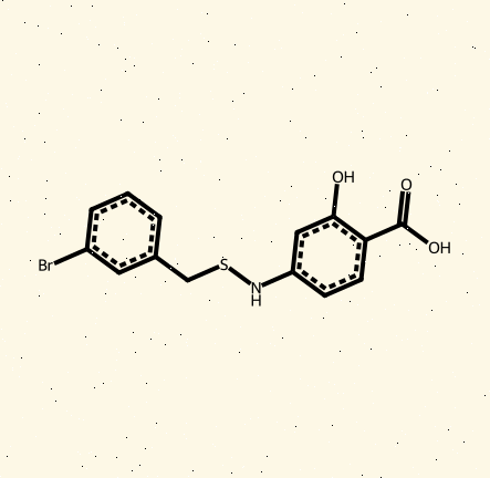 O=C(O)c1ccc(NSCc2cccc(Br)c2)cc1O